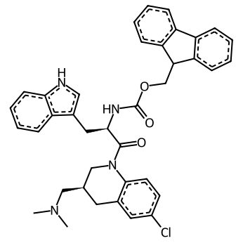 CN(C)C[C@@H]1Cc2cc(Cl)ccc2N(C(=O)[C@@H](Cc2c[nH]c3ccccc23)NC(=O)OCC2c3ccccc3-c3ccccc32)C1